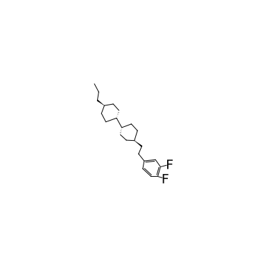 CCC[C@H]1CC[C@H]([C@H]2CC[C@H](CCc3ccc(F)c(F)c3)CC2)CC1